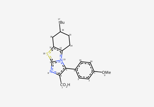 COc1ccc(-c2c(C(=O)O)nc3sc4c(n23)CCC(C(C)(C)C)C4)cc1